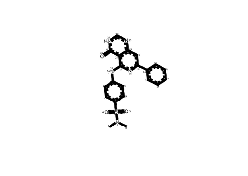 CN(C)S(=O)(=O)c1ccc(Nc2nc(-c3ccccc3)cc3nc[nH]c(=O)c23)cc1